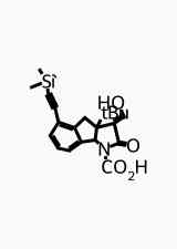 CC(C)(C)C12Cc3c(C#C[Si](C)(C)C)cccc3C1N(C(=O)O)C(=O)C2=CO